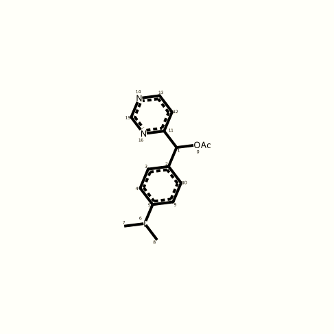 CC(=O)OC(c1ccc(I(C)C)cc1)c1ccncn1